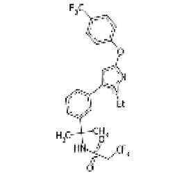 CCn1nc(Oc2ccc(C(F)(F)F)cc2)cc1-c1cccc(C(C)(C)NS(=O)(=O)CC(F)(F)F)c1